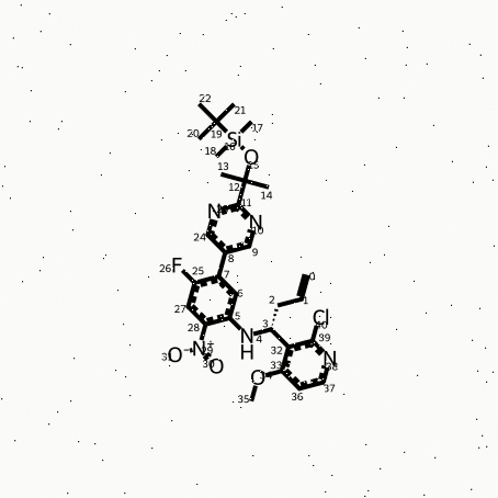 C=CC[C@@H](Nc1cc(-c2cnc(C(C)(C)O[Si](C)(C)C(C)(C)C)nc2)c(F)cc1[N+](=O)[O-])c1c(OC)ccnc1Cl